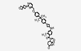 Cc1cc(NC2CN(c3ccc(C(C)(C)c4ccc(OCc5ccnc(N6CC7(COC7)C6)n5)cc4)cc3)C2)ccc1C(=O)N(C=O)C1CCC(=O)NC1=O